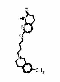 Cc1ccc2c(c1)CN(CCCCOc1ccc3c(n1)NC(=O)CC3)CC2